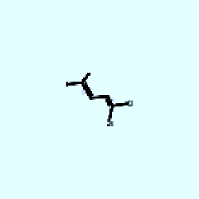 CC/C(Cl)=C\C=C(/C)I